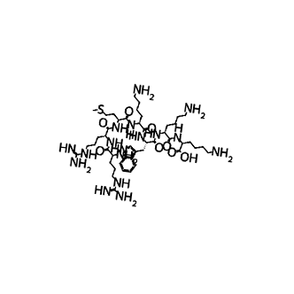 CSCC[C@H](NC(=O)[C@H](CCCNC(=N)N)NC(=O)[C@@H](N)CCCNC(=N)N)C(=O)N[C@@H](CCCCN)C(=O)N[C@@H](Cc1c[nH]c2ccccc12)C(=O)N[C@@H](CCCCN)C(=O)N[C@@H](CCCCN)C(=O)O